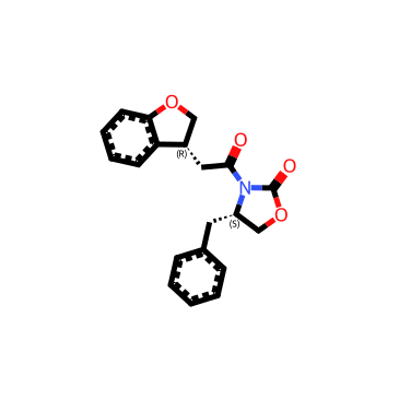 O=C(C[C@H]1COc2ccccc21)N1C(=O)OC[C@@H]1Cc1ccccc1